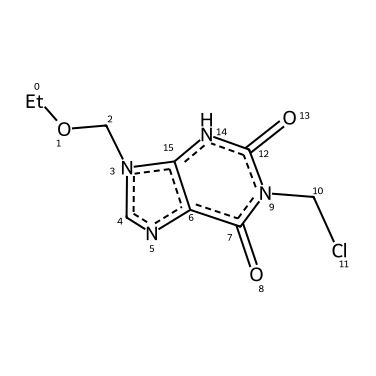 CCOCn1cnc2c(=O)n(CCl)c(=O)[nH]c21